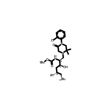 CC[C@H](C)C[C@@H](C[C@H](O)[C@H](CN1CC(=O)N(c2ccccc2Cl)CC1(C)C)NC(=O)OC(C)(C)C)C(C)C